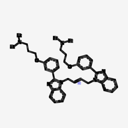 CCN(CC)CCCOc1cccc(-c2nc3ccccc3n2C/C=C/Cn2c(-c3cccc(OCCCN(CC)CC)c3)nc3ccccc32)c1